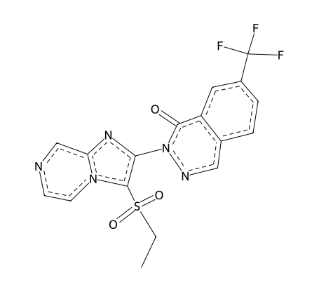 CCS(=O)(=O)c1c(-n2ncc3ccc(C(F)(F)F)cc3c2=O)nc2cnccn12